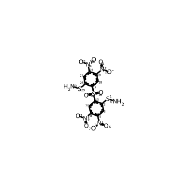 NSc1cc([N+](=O)[O-])c([N+](=O)[O-])cc1S(=O)(=O)c1cc([N+](=O)[O-])c([N+](=O)[O-])cc1SN